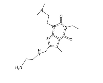 CCn1c(=O)c2c(C)c(CNCCN)sc2n(CCN(C)C)c1=O